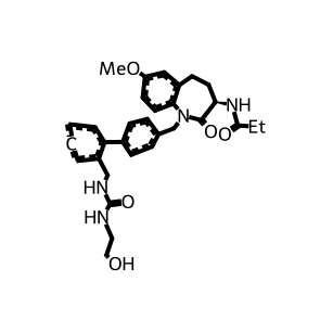 CCC(=O)N[C@@H]1CCc2cc(OC)ccc2N(Cc2ccc(-c3ccccc3CNC(=O)NCCO)cc2)C1=O